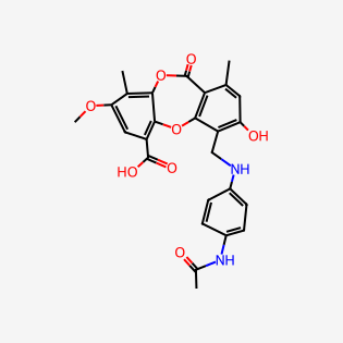 COc1cc(C(=O)O)c2c(c1C)OC(=O)c1c(C)cc(O)c(CNc3ccc(NC(C)=O)cc3)c1O2